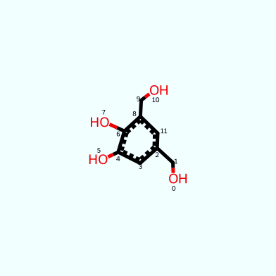 OCc1cc(O)c(O)c(CO)c1